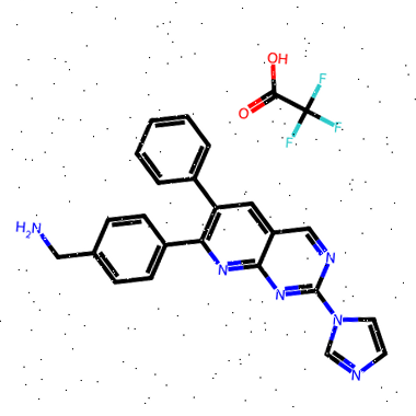 NCc1ccc(-c2nc3nc(-n4ccnc4)ncc3cc2-c2ccccc2)cc1.O=C(O)C(F)(F)F